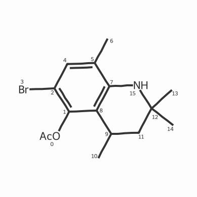 CC(=O)Oc1c(Br)cc(C)c2c1C(C)CC(C)(C)N2